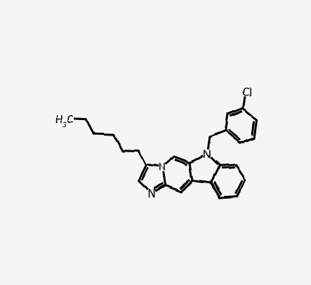 CCCCCCc1cnc2cc3c4ccccc4n(Cc4cccc(Cl)c4)c3cn12